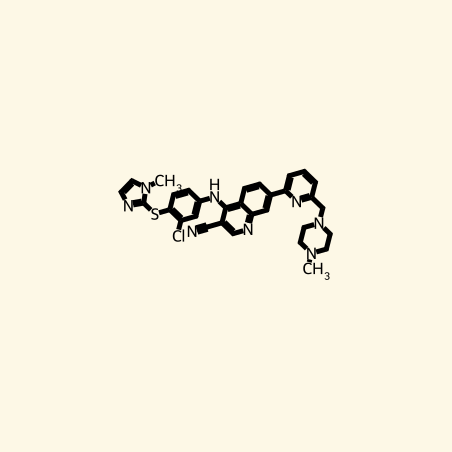 CN1CCN(Cc2cccc(-c3ccc4c(Nc5ccc(Sc6nccn6C)c(Cl)c5)c(C#N)cnc4c3)n2)CC1